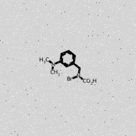 CN(C)c1cccc(CN(Br)C(=O)O)c1